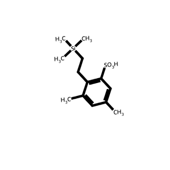 Cc1cc(C)c(CC[Si](C)(C)C)c(S(=O)(=O)O)c1